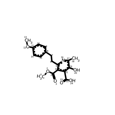 COC(=O)c1c(CCc2ccc(OC)cc2)nc(C)c(O)c1C(=O)O